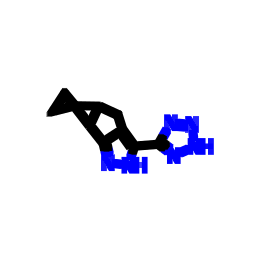 C1c2c(n[nH]c2-c2nn[nH]n2)C2C1C21CC1